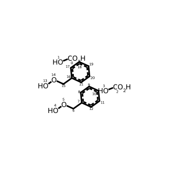 O=C(O)O.O=C(O)O.OOCc1ccccc1.OOCc1ccccc1